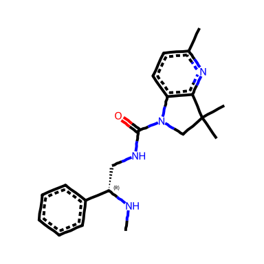 CN[C@@H](CNC(=O)N1CC(C)(C)c2nc(C)ccc21)c1ccccc1